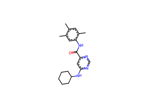 Cc1cc(C)c(NC(=O)c2cc(NC3CCCCC3)ncn2)cc1C